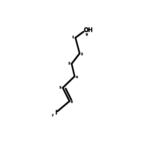 OCCCCC=CI